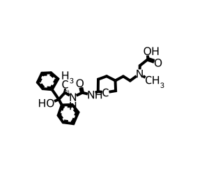 C[C@@H](NC(=O)NC1CCC(CCN(C)CC(=O)O)CC1)C(O)(c1ccccc1)c1ccccc1